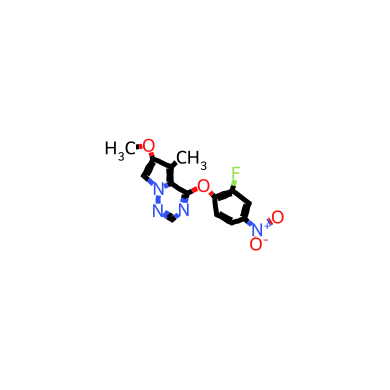 COc1cn2ncnc(Oc3ccc([N+](=O)[O-])cc3F)c2c1C